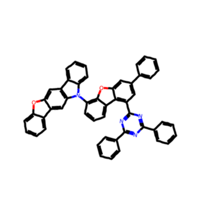 c1ccc(-c2cc(-c3nc(-c4ccccc4)nc(-c4ccccc4)n3)c3c(c2)oc2c(-n4c5ccccc5c5cc6oc7ccccc7c6cc54)cccc23)cc1